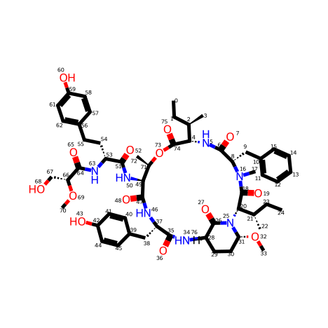 CC[C@@H](C)[C@@H]1NC(=O)[C@H](Cc2ccccc2)N(C)C(=O)[C@H]([C@@H](C)CC)N2C(=O)[C@H](CC[C@H]2OC)NC(=O)[C@H](CC2C=CC(O)C=C2)NC(=O)[C@@H](NC(=O)[C@@H](CCc2ccc(O)cc2)NC(=O)[C@@H](CO)OC)[C@@H](C)OC1=O